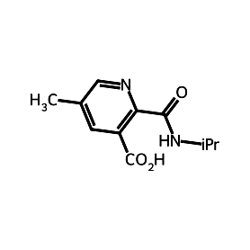 Cc1cnc(C(=O)NC(C)C)c(C(=O)O)c1